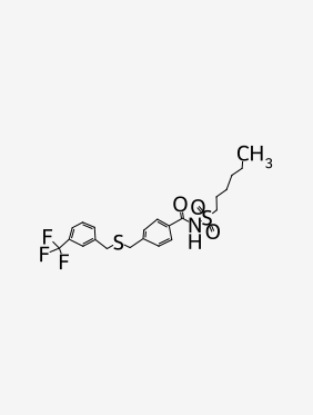 CCCCCCS(=O)(=O)NC(=O)c1ccc(CSCc2cccc(C(F)(F)F)c2)cc1